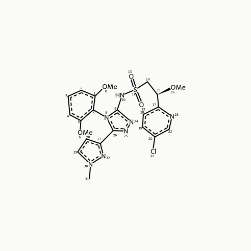 COc1cccc(OC)c1-n1c(NS(=O)(=O)C[C@@H](OC)c2ccc(Cl)cn2)nnc1-c1ccn(C)n1